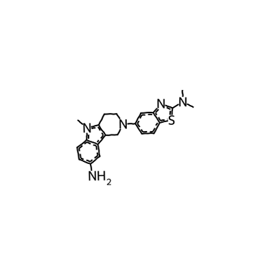 CN(C)c1nc2cc(N3CCc4c(c5cc(N)ccc5n4C)C3)ccc2s1